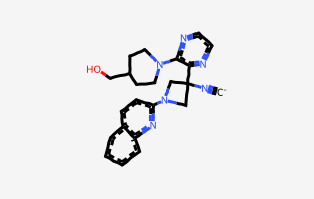 [C-]#[N+]C1(c2nccnc2N2CCC(CO)CC2)CN(c2ccc3ccccc3n2)C1